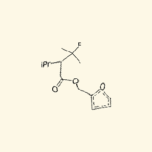 CC(C)C(C(=O)OCc1ccco1)C(C)(C)F